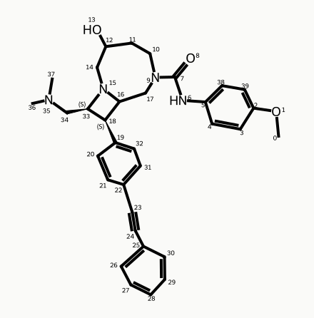 COc1ccc(NC(=O)N2CCC(O)CN3C(C2)[C@@H](c2ccc(C#Cc4ccccc4)cc2)[C@H]3CN(C)C)cc1